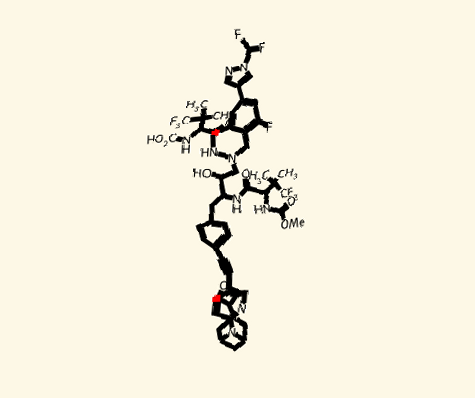 COC(=O)NC(C(=O)NC(Cc1ccc(C#Cc2ccc(N3C4CC3CN(C3COC3)C4)nc2)cc1)C(O)CN(Cc1c(F)cc(-c2cnn(C(F)F)c2)cc1F)NC(=O)C(NC(=O)O)C(C)(C)C(F)(F)F)C(C)(C)C(F)(F)F